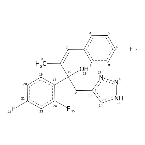 CC(=Cc1ccc(F)cc1)C(O)(Cc1c[nH]nn1)c1ccc(F)cc1F